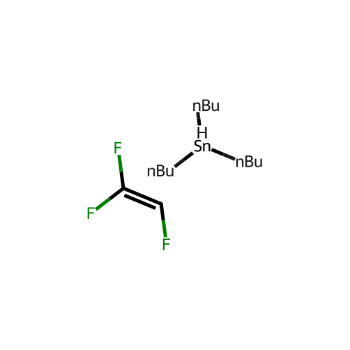 CCC[CH2][SnH]([CH2]CCC)[CH2]CCC.FC=C(F)F